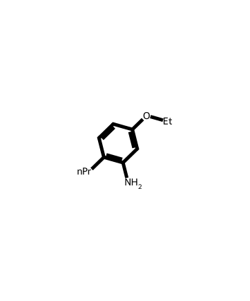 CCCc1ccc(OCC)cc1N